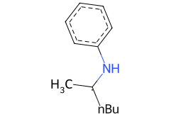 CCCC[C](C)Nc1ccccc1